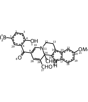 Bc1ccc(O)c(C(=O)C2=CN3CCc4c([nH]c5ccc(OC)cc45)C3(C=O)C(C=O)=C2)c1